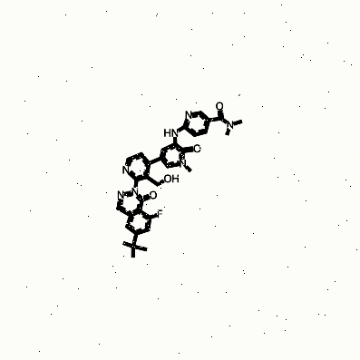 CN(C)C(=O)c1ccc(Nc2cc(-c3ccnc(-n4ncc5cc(C(C)(C)C)cc(F)c5c4=O)c3CO)cn(C)c2=O)nc1